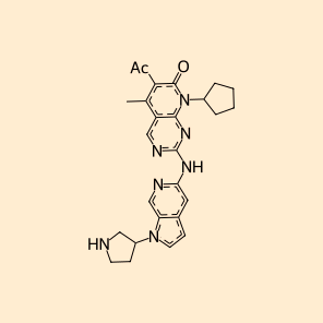 CC(=O)c1c(C)c2cnc(Nc3cc4ccn(C5CCNC5)c4cn3)nc2n(C2CCCC2)c1=O